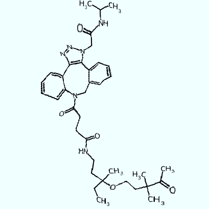 CCC(C)(CCNC(=O)CCC(=O)N1Cc2ccccc2-c2c(nnn2CC(=O)NC(C)C)-c2ccccc21)OCCC(C)(C)C(C)=O